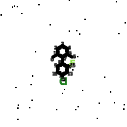 Cc1cccc(C)c1-c1ccc(Cl)cc1F